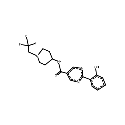 O=C(NC1CCN(CC(F)(F)F)CC1)c1cnc(-c2ccccc2O)nc1